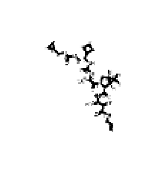 C=CCNC(=O)C(=O)C(CCC)NC(=O)[C@@H]1[C@@H]2[C@H](CN1C(=O)[C@@H](NC(=O)N[C@H](COC(=O)OCC1CC1)C1CCC1)C(C)(C)C)C2(C)C